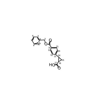 O=C(OCc1ccccn1)c1ccc(C2CC2C(=O)O)cc1